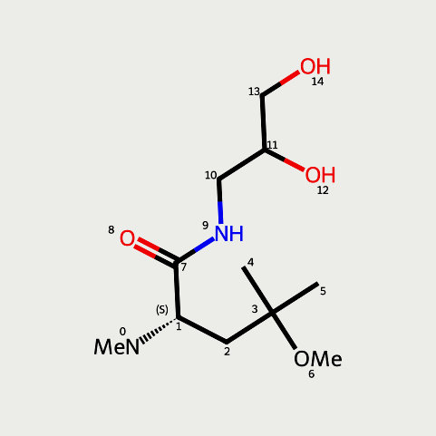 CN[C@@H](CC(C)(C)OC)C(=O)NCC(O)CO